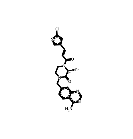 CCC[C@H]1C(=O)N(Cc2ccc3c(N)ncnc3c2)CCN1C(=O)C=Cc1csc(Cl)c1